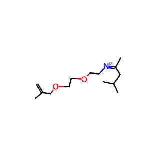 C=C(C)COCCOCC/N=C(/C)CC(C)C